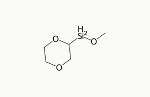 CO[SiH2]C1COCCO1